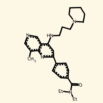 CCN(CC)C(=O)c1ccc(-c2cc(NCCCN3CCCCC3)c3cncc(C)c3n2)cc1